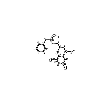 CC(C)SCC(CCN(C)Cc1ccccc1)Oc1ccc(Cl)cc1Cl